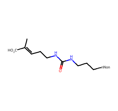 CCCCCCCCCCCCNC(=O)NCCC=C(C)C(=O)O